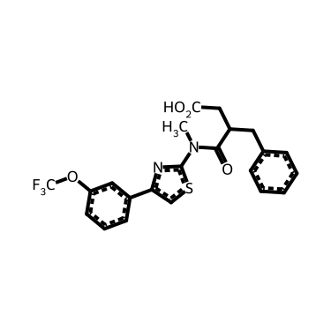 CN(C(=O)C(CC(=O)O)Cc1ccccc1)c1nc(-c2cccc(OC(F)(F)F)c2)cs1